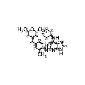 Cc1cc(CN2C[C@@H](C)O[C@@H](C)C2)ccc1Nc1nc(NC2CCCCC2)c2nc[nH]c2n1